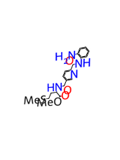 COC(=O)C(CCSC)NC(=O)c1ccc(C(=O)Nc2ccccc2N)nc1